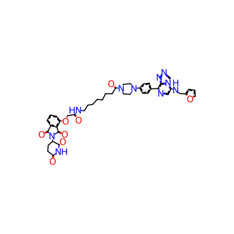 O=C(COc1cccc2c1C(=O)N(C1CCC(=O)NC1=O)C2=O)NCCCCCCCC(=O)N1CCN(c2ccc(-c3ncc(NCc4ccco4)n4cnnc34)cc2)CC1